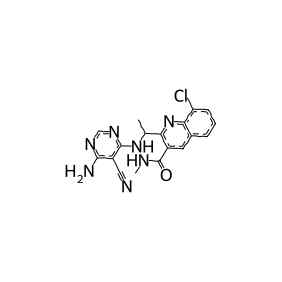 CNC(=O)c1cc2cccc(Cl)c2nc1C(C)Nc1ncnc(N)c1C#N